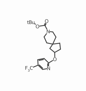 CC(C)(C)OC(=O)N1CCC2(CCC(Oc3ccc(C(F)(F)F)cn3)C2)CC1